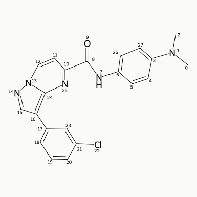 CN(C)c1ccc(NC(=O)c2ccn3ncc(-c4cccc(Cl)c4)c3n2)cc1